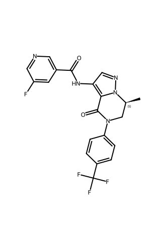 C[C@H]1CN(c2ccc(C(F)(F)F)cc2)C(=O)c2c(NC(=O)c3cncc(F)c3)cnn21